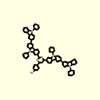 N#Cc1ccc(-c2cc(-c3ccc4c5cc(-c6ccc7c(c6)c6ccccc6n7-c6ccccc6)ccc5n(-c5ccccc5)c4c3)nc(-c3ccc4c5cc(-c6ccc7c(c6)c6ccccc6n7-c6ccccc6)ccc5n(-c5ccccc5)c4c3)n2)cc1